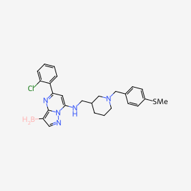 Bc1cnn2c(NCC3CCCN(Cc4ccc(SC)cc4)C3)cc(-c3ccccc3Cl)nc12